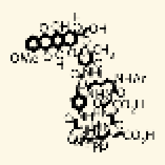 COc1cccc2c1C(=O)c1c(O)c3c(c(O)c1C2=O)C[C@@](O)(C(=O)CO)C[C@@H]3O[C@H]1CC(NC(=O)OCc2ccc(NC(=O)[C@H](CC(=O)O)NC(=O)[C@@H](NC(=O)[C@H](CCC(=O)O)NC(=O)[C@H](CC(=O)O)NC(=O)CNC(=O)[C@H](CCCCN)NC(C)=O)C(C)C)cc2)[C@H](O)[C@H](C)O1